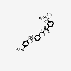 COc1ccc(NS(=O)(=O)c2cccc(NC(=S)NC(=O)c3cccc(S(=O)(=O)N(C)C)c3)c2)cc1